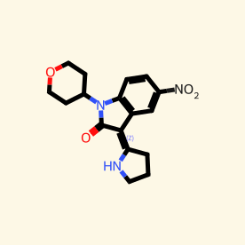 O=C1/C(=C2/CCCN2)c2cc([N+](=O)[O-])ccc2N1C1CCOCC1